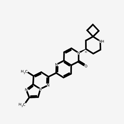 Cc1cn2nc(-c3ccc4c(=O)n([C@@H]5CCNC6(CCC6)C5)ccc4n3)cc(C)c2n1